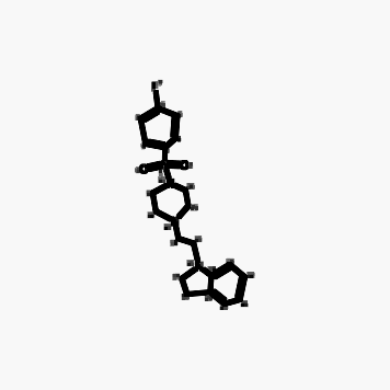 O=S(=O)(c1ccc(F)cc1)N1CCN(CCN2CCc3ccccc32)CC1